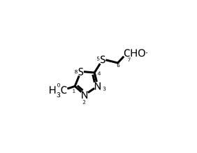 Cc1nnc(SC[C]=O)s1